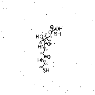 CC(C)(COP(=O)(O)O)C(C)(O)C(=O)NCCC(=O)NCCS